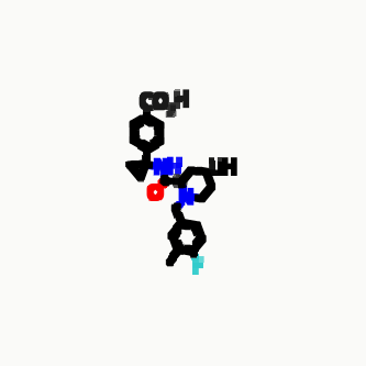 Cc1cc(CN2CCCC[C@@H]2C(=O)NC2(c3ccc(C(=O)O)cc3)CC2)ccc1F.[LiH]